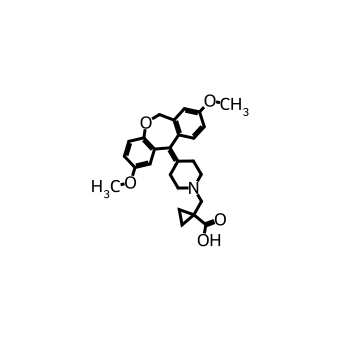 COc1ccc2c(c1)COc1ccc(OC)cc1C2=C1CCN(CC2(C(=O)O)CC2)CC1